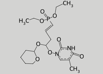 CCOP(=O)(C=CCC(OC1CCCCO1)On1cc(C)c(=O)[nH]c1=O)OCC